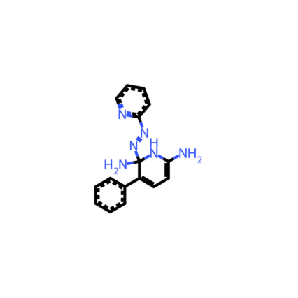 NC1=CC=C(c2ccccc2)C(N)(N=Nc2ccccn2)N1